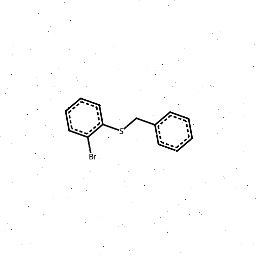 Brc1ccccc1SCc1ccccc1